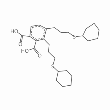 O=C(O)c1ccc(CCCSC2CCCCC2)c(CCCSC2CCCCC2)c1C(=O)O